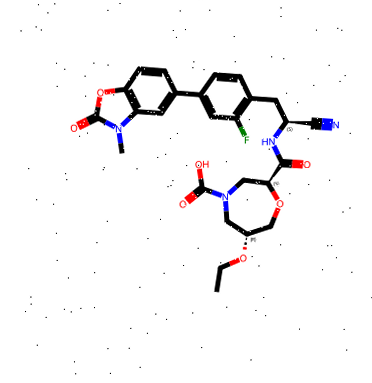 CCO[C@H]1CO[C@H](C(=O)N[C@H](C#N)Cc2ccc(-c3ccc4oc(=O)n(C)c4c3)cc2F)CN(C(=O)O)C1